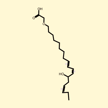 CC/C=C\CC(O)/C=C\C=C\CCCCCCCCOCC(=O)O